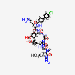 C[C@@H]1NC(=O)[C@@H](N(C)C(=O)[C@H](CCCCN)NC(=O)c2ccc(-c3ccc(Cl)cc3)cc2)c2ccc(O)c(c2)-c2cc(ccc2O)C[C@@H](C(=O)N[C@@H](C)C(=O)N(C)[C@@H](CCC(=O)O)C(N)=O)NC1=O